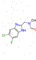 CN(C=O)Cc1nc2cc(Cl)c(F)cc2[nH]1